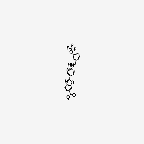 COC(=O)c1ccc2nc(-c3ccc(NCc4cccc(OC(F)(F)F)c4)nc3)oc2c1